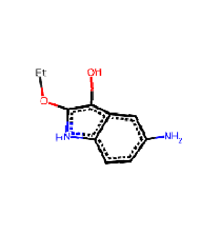 CCOc1[nH]c2ccc(N)cc2c1O